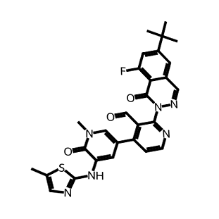 Cc1cnc(Nc2cc(-c3ccnc(-n4ncc5cc(C(C)(C)C)cc(F)c5c4=O)c3C=O)cn(C)c2=O)s1